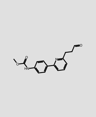 COC(=O)Nc1ccc(-c2cccc(CCC=O)n2)cc1